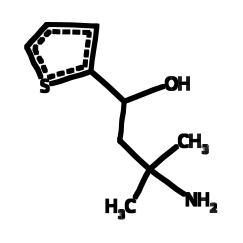 CC(C)(N)CC(O)c1cccs1